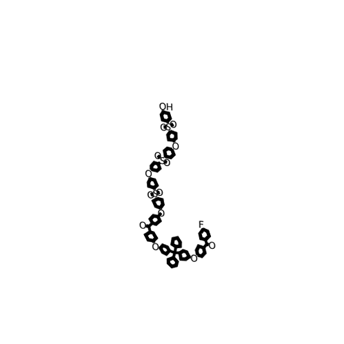 O=C(c1ccc(F)cc1)c1ccc(Oc2ccc(C(c3ccccc3)(c3ccccc3)c3ccc(Oc4ccc(C(=O)c5ccc(Oc6ccc(S(=O)(=O)c7ccc(Oc8ccc(S(=O)(=O)c9ccc(Oc%10ccc(S(=O)(=O)c%11ccc(O)cc%11)cc%10)cc9)cc8)cc7)cc6)cc5)cc4)cc3)cc2)cc1